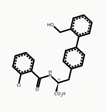 O=C(N[C@@H](Cc1ccc(-c2ccccc2CO)cc1)C(=O)O)c1ccccc1Cl